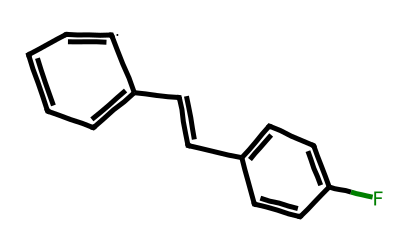 Fc1ccc(C=Cc2[c]cccc2)cc1